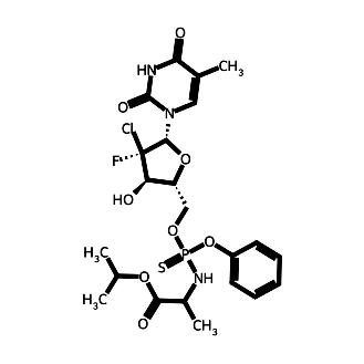 Cc1cn([C@@H]2O[C@H](COP(=S)(NC(C)C(=O)OC(C)C)Oc3ccccc3)[C@@H](O)[C@@]2(F)Cl)c(=O)[nH]c1=O